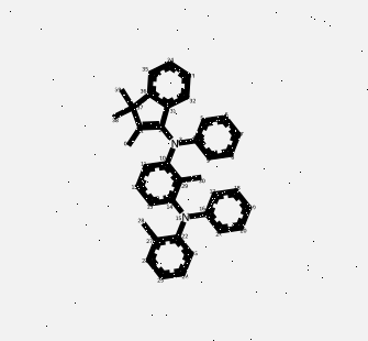 CC1=C(N(c2ccccc2)c2cccc(N(c3ccccc3)c3ccccc3C)c2C)c2ccccc2C1(C)C